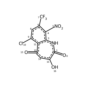 O=c1[nH]c2c([N+](=O)[O-])c(C(F)(F)F)cc(Cl)c2c(=O)cc1O